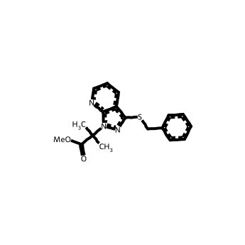 COC(=O)C(C)(C)n1nc(SCc2ccccc2)c2cccnc21